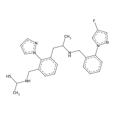 CC(S)NCc1cccc(CC(C)NCc2ccccc2-n2cc(F)cn2)c1-n1cccn1